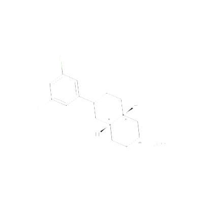 O=C[C@@H]1CC[C@@H]2CC(c3cc(F)cc(F)c3)CC[C@@H]2C1